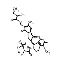 CC[C@@H](O)C(=O)OCc1c([SiH3])cc2n(c1=O)Cc1c-2nc2cc(F)c(C)c3c2c1[C@@H](NC(=O)[C@@H](C)C(F)(F)F)CC3